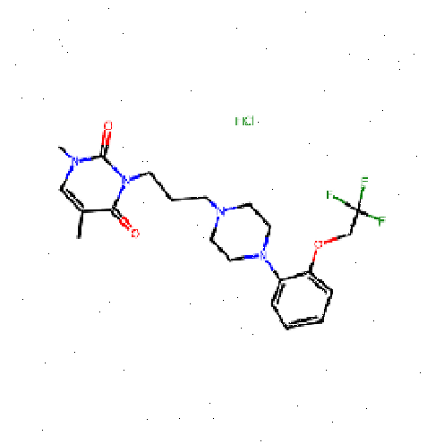 Cc1cn(C)c(=O)n(CCCN2CCN(c3ccccc3OCC(F)(F)F)CC2)c1=O.Cl